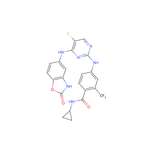 O=C(NC1CC1)c1ccc(Nc2ncc(F)c(Nc3ccc4oc(=O)[nH]c4c3)n2)cc1C(F)(F)F